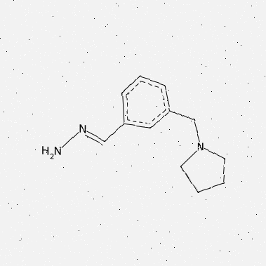 NN=Cc1cccc(CN2CCCC2)c1